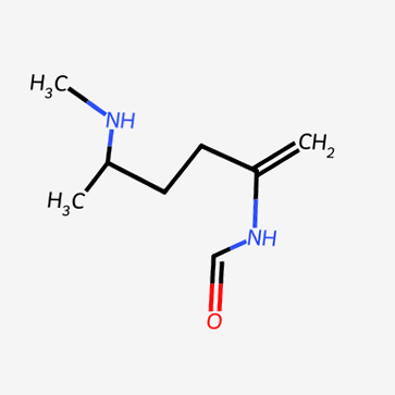 C=C(CCC(C)NC)NC=O